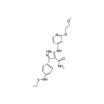 CCSNc1ccc(-c2n[nH]c(Nc3ccnc(OCCOC)c3)c2C(N)=O)cc1